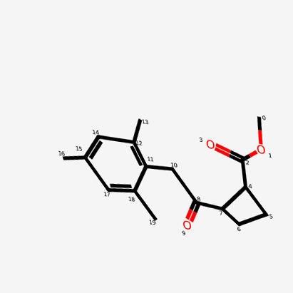 COC(=O)C1CCC1C(=O)Cc1c(C)cc(C)cc1C